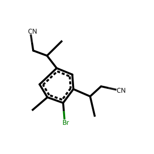 Cc1cc(C(C)CC#N)cc(C(C)CC#N)c1Br